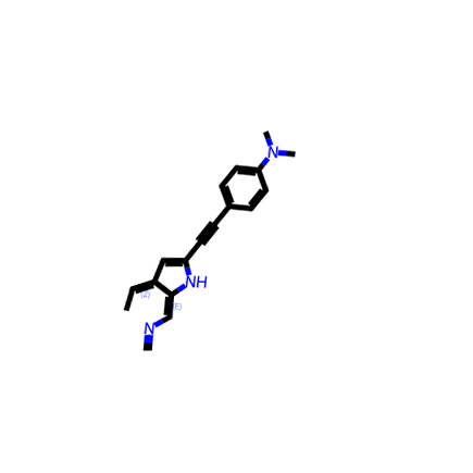 C=N/C=c1/[nH]c(C#Cc2ccc(N(C)C)cc2)c/c1=C/C